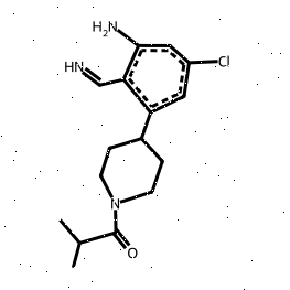 CC(C)C(=O)N1CCC(c2cc(Cl)cc(N)c2C=N)CC1